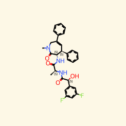 C[C@H](NC(=O)[C@@H](O)c1cc(F)cc(F)c1)C(=O)N[C@@H]1C(=O)N(C)CC(c2ccccc2)=C[C@H]1c1ccccc1